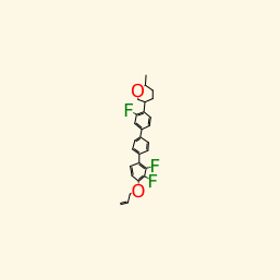 C=CCOc1ccc(-c2ccc(-c3ccc(C4CCC(C)OC4)c(F)c3)cc2)c(F)c1F